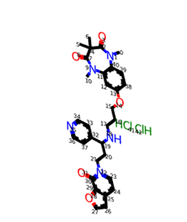 CN1C(=O)C(C)(C)C(=O)N(C)c2cc(OCCCNC(CCn3ccc4ccoc4c3=O)c3ccncc3)ccc21.Cl.Cl